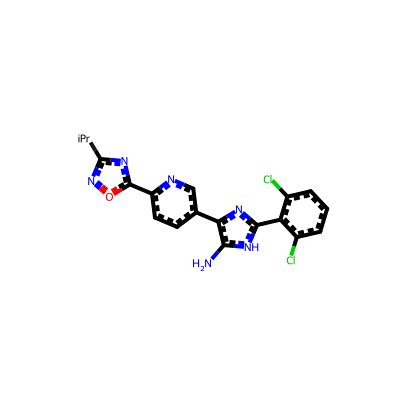 CC(C)c1noc(-c2ccc(-c3nc(-c4c(Cl)cccc4Cl)[nH]c3N)cn2)n1